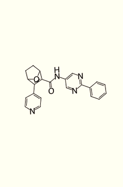 O=C(Nc1cnc(-c2ccccc2)nc1)C1=C(c2ccncc2)C2CCC1O2